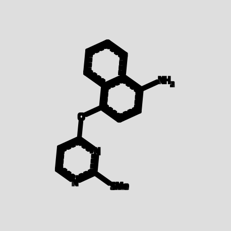 CSc1nccc(Oc2ccc(N)c3ccccc23)n1